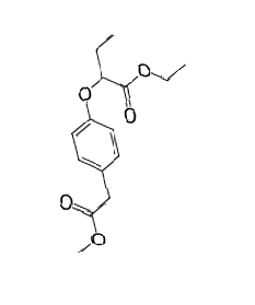 CCOC(=O)C(CC)Oc1ccc(CC(=O)OC)cc1